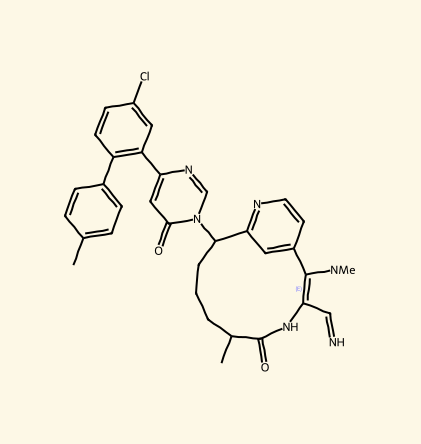 CN/C1=C(\C=N)NC(=O)C(C)CCCC(n2cnc(-c3cc(Cl)ccc3-c3ccc(C)cc3)cc2=O)c2cc1ccn2